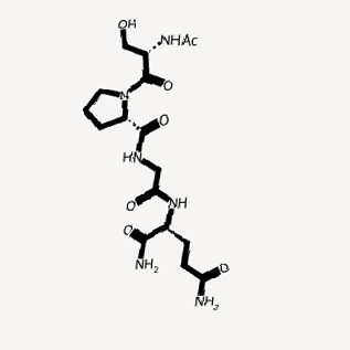 CC(=O)N[C@@H](CO)C(=O)N1CCC[C@H]1C(=O)NCC(=O)N[C@@H](CCC(N)=O)C(N)=O